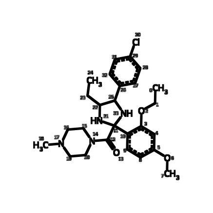 CCOc1cc(OC)ccc1C1(C(=O)N2CCN(C)CC2)NC(CC)C(c2ccc(Cl)cc2)N1